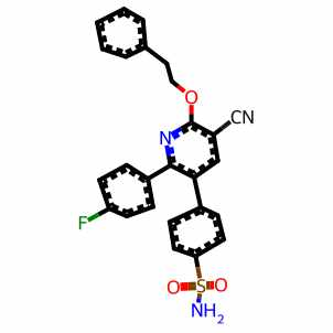 N#Cc1cc(-c2ccc(S(N)(=O)=O)cc2)c(-c2ccc(F)cc2)nc1OCCc1ccccc1